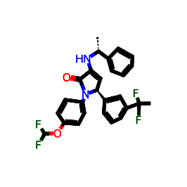 C[C@@H](NC1=C[C@@H](c2cccc(C(C)(F)F)c2)N(c2ccc(OC(F)F)cc2)C1=O)c1ccccc1